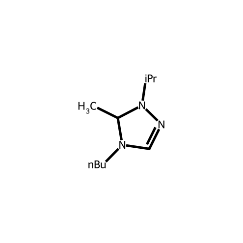 CCCCN1C=NN(C(C)C)C1C